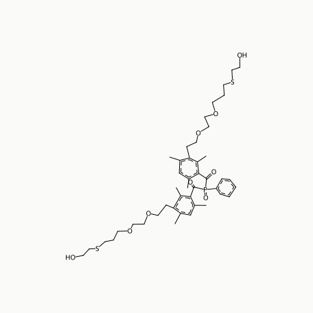 Cc1cc(C)c(C(=O)P(=O)(C(=O)c2c(C)cc(C)c(CCOCCOCCCSCCO)c2C)c2ccccc2)c(C)c1CCOCCOCCCSCCO